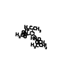 CC(C)c1cc(CNC(=O)OC(C)(C)C)cc(CNS(C)(=O)=O)c1